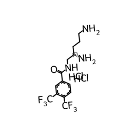 Cl.Cl.NCCC[C@H](N)CNC(=O)c1ccc(C(F)(F)F)c(C(F)(F)F)c1